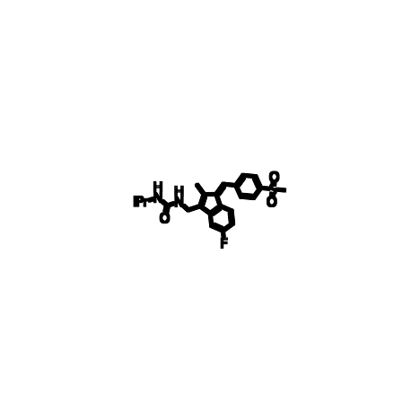 CC1=C(CNC(=O)NC(C)C)c2cc(F)ccc2/C1=C\c1ccc(S(C)(=O)=O)cc1